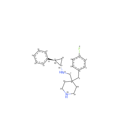 Fc1ccc(CC2(CN[C@H]3C[C@@H]3c3ccccc3)CCNCC2)cc1